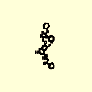 N=C/C(=N\NCC(=O)N1CCCCC1)c1cc(F)c(OCc2nnc(S[C@@H]3C=CCCC3)n2-c2cccnc2)cc1F